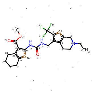 CCN1CCc2c(sc(C(F)(F)F)c2CNC(=O)Nc2sc3c(c2C(=O)OC)CCCC3)C1